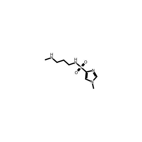 CNCCCNS(=O)(=O)c1cn(C)cn1